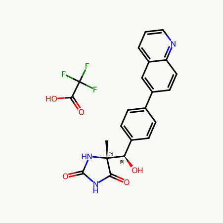 C[C@]1([C@H](O)c2ccc(-c3ccc4ncccc4c3)cc2)NC(=O)NC1=O.O=C(O)C(F)(F)F